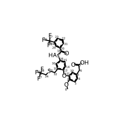 COc1ccc(CC(=O)O)cc1Oc1ccc([AsH]C(=O)c2cccc(C(F)(F)F)c2)cc1CSCC(F)(F)F